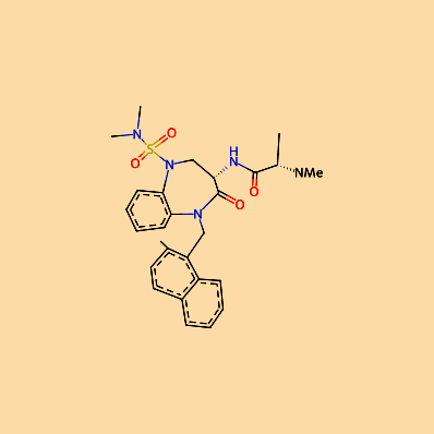 CN[C@@H](C)C(=O)N[C@H]1CN(S(=O)(=O)N(C)C)c2ccccc2N(Cc2c(C)ccc3ccccc23)C1=O